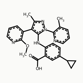 COc1ncccc1-c1c(C)nn(-c2ncccc2C)c1Nc1ccc(C2CC2)cc1C(=O)O